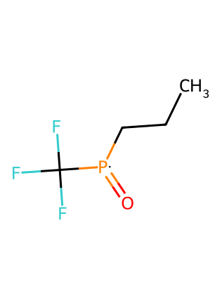 CCC[P](=O)C(F)(F)F